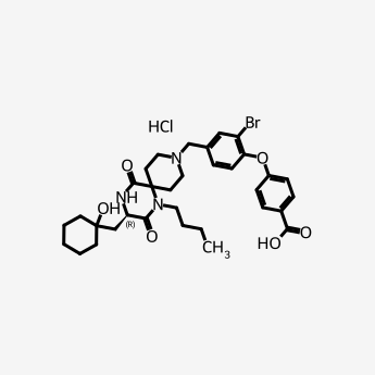 CCCCN1C(=O)[C@@H](CC2(O)CCCCC2)NC(=O)C12CCN(Cc1ccc(Oc3ccc(C(=O)O)cc3)c(Br)c1)CC2.Cl